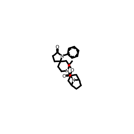 CCOC(=O)N1C2CCC1CC(N1CCC3(CCC(=O)N3c3ccccc3)CC1)C2